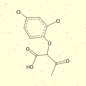 CC(=O)C(Oc1ccc(Cl)cc1Cl)C(=O)O